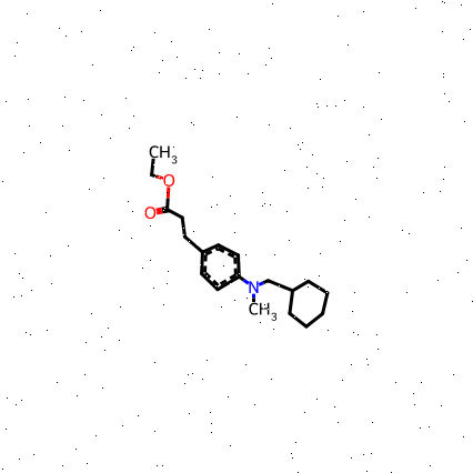 CCOC(=O)CCc1ccc(N(C)CC2CCCCC2)cc1